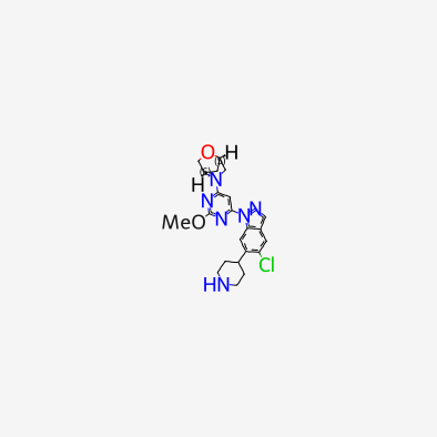 COc1nc(N2C[C@@H]3C[C@H]2CO3)cc(-n2ncc3cc(Cl)c(C4CCNCC4)cc32)n1